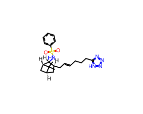 CC1(C)[C@H]2C[C@H](CC=CCCCc3nnn[nH]3)[C@@H](NS(=O)(=O)c3ccccc3)[C@H]1C2